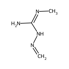 C=NN/C(N)=N\C